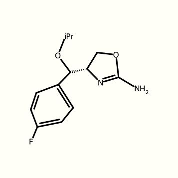 CC(C)OC(c1ccc(F)cc1)[C@@H]1COC(N)=N1